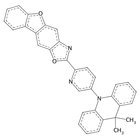 CC1(C)c2ccccc2N(c2ccc(-c3nc4cc5oc6ccccc6c5cc4o3)nc2)c2ccccc21